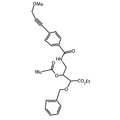 CCOC(=O)C(OCc1ccccc1)C(CNC(=O)c1ccc(C#CCOC)cc1)OC(=O)C(C)(C)C